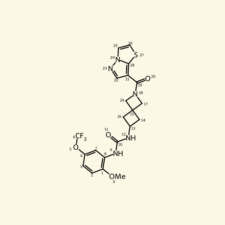 COc1ccc(OC(F)(F)F)cc1NC(=O)NC1CC2(C1)CN(C(=O)c1cnn3ccsc13)C2